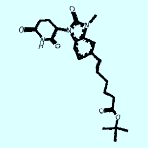 Cn1c(=O)n(C2CCC(=O)NC2=O)c2ccc(CCCCCC(=O)OC(C)(C)C)cc21